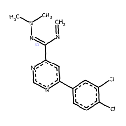 C=N/C(=N\N(C)C)c1cc(-c2ccc(Cl)c(Cl)c2)ncn1